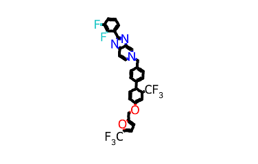 Fc1cccc(-c2nc3ccn(Cc4ccc(C5C=CC(OCc6ccc(C(F)(F)F)o6)=CC5C(F)(F)F)cc4)cc-3n2)c1F